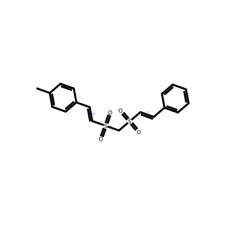 Cc1ccc(/C=C/S(=O)(=O)CS(=O)(=O)/C=C/c2ccccc2)cc1